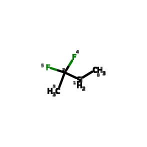 C[SiH2]C(C)(F)F